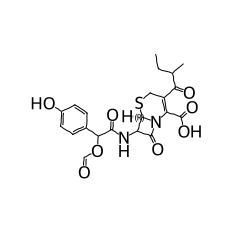 CCC(C)C(=O)C1=C(C(=O)O)N2C(=O)C(NC(=O)C(OC=O)c3ccc(O)cc3)[C@H]2SC1